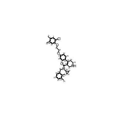 Cc1cc(Cl)c(OCCOc2ccc(C3=C(C(=O)N(Cc4cccc(C)c4C)C4CC4)CNCC3)cc2)cc1C